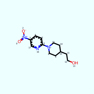 O=[N+]([O-])c1ccc(N2CCC(CCO)CC2)nc1